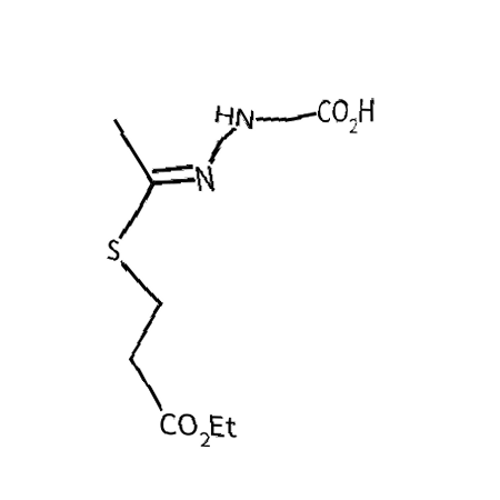 CCOC(=O)CCSC(C)=NNC(=O)O